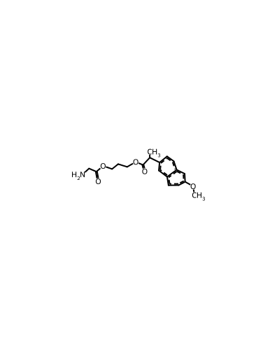 COc1ccc2cc(C(C)C(=O)OCCCOC(=O)CN)ccc2c1